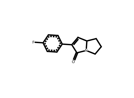 O=C1C(c2ccc(F)cc2)=[C]C2CCCN12